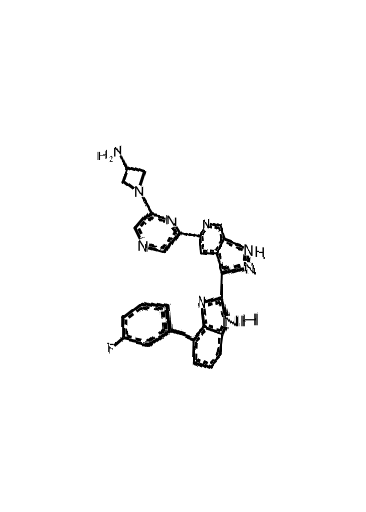 NC1CN(c2cncc(-c3cc4c(-c5nc6c(-c7cccc(F)c7)cccc6[nH]5)n[nH]c4cn3)n2)C1